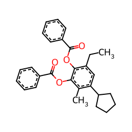 CCc1cc(C2CCCC2)c(C)c(OC(=O)c2ccccc2)c1OC(=O)c1ccccc1